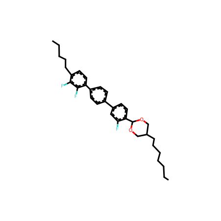 CCCCCCCC1COC(c2ccc(-c3ccc(-c4ccc(CCCCC)c(F)c4F)cc3)cc2F)OC1